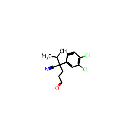 CC(C)C(C#N)(CCC=O)c1ccc(Cl)c(Cl)c1